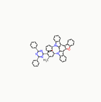 Cc1cc(-n2c3ccccc3c3c4oc5ccccc5c4c4c5ccccc5n(-c5ccccc5)c4c32)ccc1-c1nc(-c2ccccc2)nc(-c2ccccc2)n1